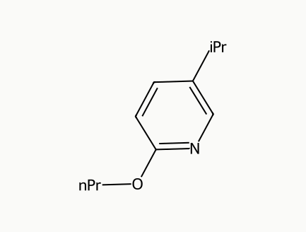 CCCOc1ccc(C(C)C)cn1